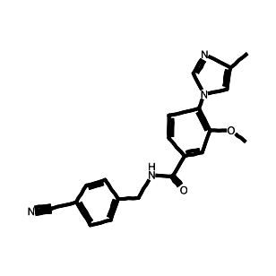 COc1cc(C(=O)NCc2ccc(C#N)cc2)ccc1-n1cnc(C)c1